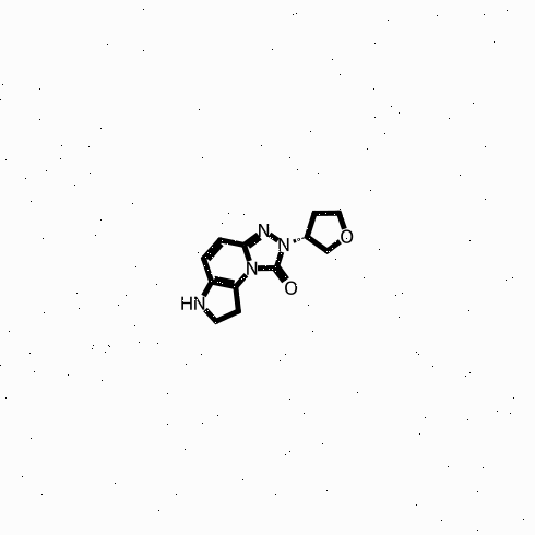 O=c1n([C@@H]2CCOC2)nc2ccc3c(n12)CCN3